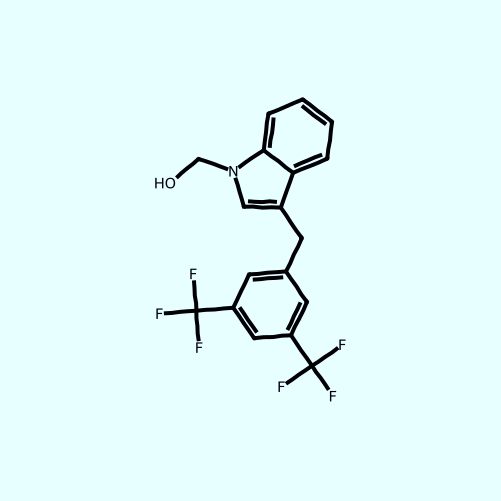 OCn1cc(Cc2cc(C(F)(F)F)cc(C(F)(F)F)c2)c2ccccc21